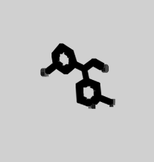 O=CC(c1cccc(Cl)c1)c1ccnc(F)c1